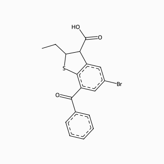 CCC1Sc2c(C(=O)c3ccccc3)cc(Br)cc2C1C(=O)O